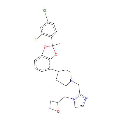 CC1(c2ccc(Cl)cc2F)Oc2cccc(C3CCN(Cc4nccn4CC4CCO4)CC3)c2O1